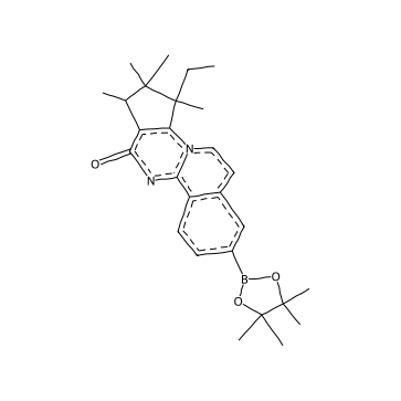 CCC1(C)c2c(c(=O)nc3c4ccc(B5OC(C)(C)C(C)(C)O5)cc4ccn23)C(C)C1(C)C